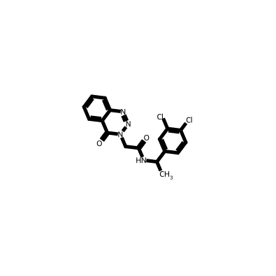 CC(NC(=O)Cn1nnc2ccccc2c1=O)c1ccc(Cl)c(Cl)c1